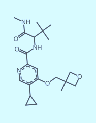 CNC(=O)C(NC(=O)c1cc(OCC2(C)COC2)c(C2CC2)cn1)C(C)(C)C